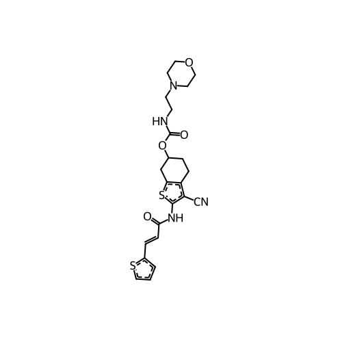 N#Cc1c(NC(=O)C=Cc2cccs2)sc2c1CCC(OC(=O)NCCN1CCOCC1)C2